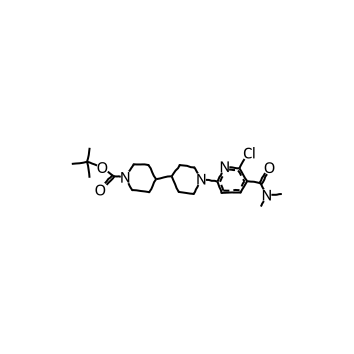 CN(C)C(=O)c1ccc(N2CCC(C3CCN(C(=O)OC(C)(C)C)CC3)CC2)nc1Cl